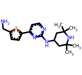 CC1(C)CC(Nc2nccc(-c3ccc(CN)s3)n2)CC(C)(C)N1